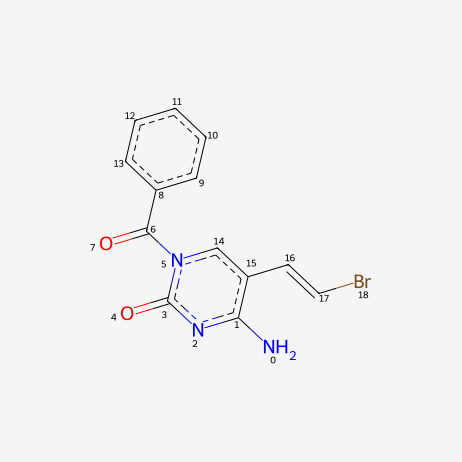 Nc1nc(=O)n(C(=O)c2ccccc2)cc1C=CBr